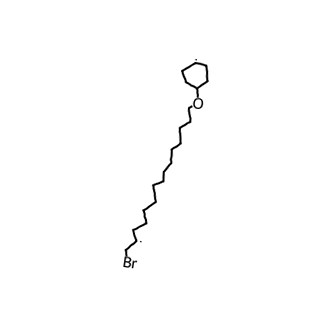 BrC[CH]CCCCCCCCCCCCCOC1CC[CH]CC1